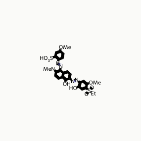 CCS(=O)(=O)c1cc(O)c(/N=N/c2ccc3c(/N=N/c4ccc(OC)cc4S(=O)(=O)O)c(NC)ccc3c2O)cc1OC